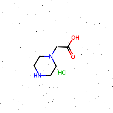 Cl.O=C(O)CN1CCNCC1